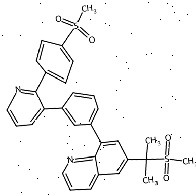 CC(C)(c1cc(-c2cccc(-c3cccnc3-c3ccc(S(C)(=O)=O)cc3)c2)c2ncccc2c1)S(C)(=O)=O